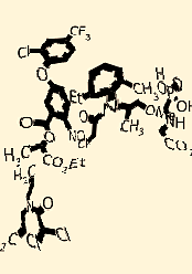 C=CCN(CC=C)C(=O)C(Cl)Cl.CCOC(=O)C(C)OC(=O)c1cc(Oc2ccc(C(F)(F)F)cc2Cl)ccc1[N+](=O)[O-].CCc1cccc(C)c1N(C(=O)CCl)C(C)COC.O=C(O)CNCP(=O)(O)O